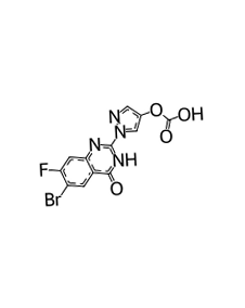 O=C(O)Oc1cnn(-c2nc3cc(F)c(Br)cc3c(=O)[nH]2)c1